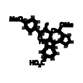 COC(=O)C1=C(c2c(CN(C)C(=O)c3ccc(OC)cc3)[nH]c3cc(C(=O)O)ccc23)CCC1